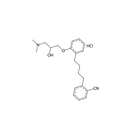 CN(C)CC(O)COc1ccccc1CCCCc1ccccc1C#N.Cl